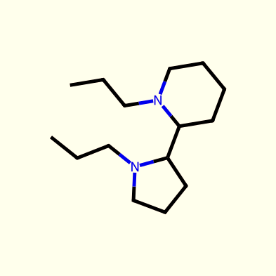 CCCN1CCCC[C]1C1CCCN1CCC